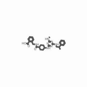 CNc1nc(NCC(C)c2ccccc2)nc(NC2CCC(C(=O)NCc3ccccc3C(=O)O)CC2)n1